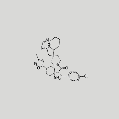 Cc1noc([C@H]2CC[C@](N)([C@@H](Cc3ccc(Cl)cc3)C(=O)N3CCC(Cn4cncn4)(C4CCCCC4)CC3)CC2)n1